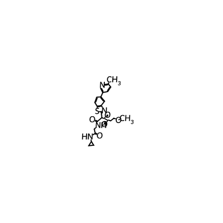 COCCS(=O)(=O)C(C(=O)NCC(=O)NC1CC1)c1nc2cc(-c3ccc(C)nc3)ccc2s1